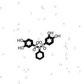 O=S(=O)(c1ccc(O)c(O)c1)N(C1CCCCC1)S(=O)(=O)c1ccc(O)c(O)c1